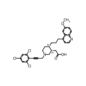 COc1ccc2nccc(CCC[C@@H]3CCN(CC#Cc4c(Cl)cc(Cl)cc4Cl)C[C@@H]3CC(=O)O)c2c1